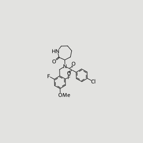 COc1cc(F)c(CN(C2CCCCNC2=O)S(=O)(=O)c2ccc(Cl)cc2)c(F)c1